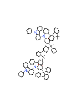 CC1(C)c2ccccc2-c2c(-c3ccccc3N(c3ccc4c(c3)-c3cc(-c5cccc6c5C(C)(C)c5cccc(-c7ccccc7N(c7ccc8c(c7)C7(c9ccccc9-c9ccccc97)c7ccccc7-8)c7cccc8c7c7ccccc7n8-c7ccccc7)c5-6)ccc3C4(C)c3ccccc3)c3cccc4c3c3ccccc3n4-c3ccccc3)cccc21